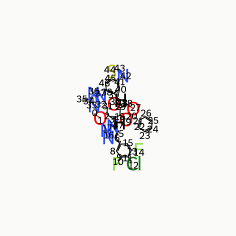 CO[C@@H]1[C@@H](n2cc(-c3cc(F)c(Cl)c(F)c3)nn2)[C@H]2O[C@@H](c3ccccc3)OC[C@H]2O[C@H]1c1nc(C)nn1-c1ccc2ncsc2c1